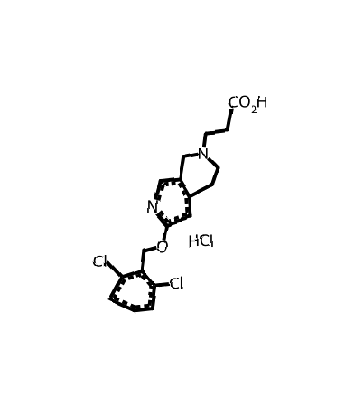 Cl.O=C(O)CCN1CCc2cc(OCc3c(Cl)cccc3Cl)ncc2C1